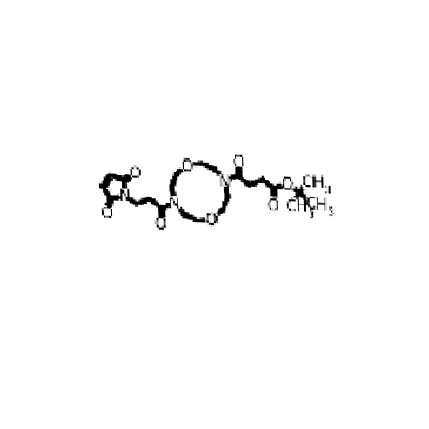 CC(C)(C)OC(=O)CCC(=O)N1CCOCCN(C(=O)CCN2C(=O)C=CC2=O)CCOCC1